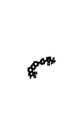 Cc1nc2ccc(CN3CCN(c4ccc(-c5nnc(C(F)(F)F)[nH]5)nc4)CC3)c(F)c2[nH]c1=O